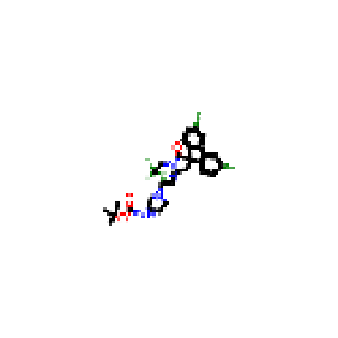 CC(C)(C)OC(=O)NC1CCN(CCCCC2(C(=O)NCC(F)(F)F)c3ccc(F)cc3-c3cc(F)ccc32)C1